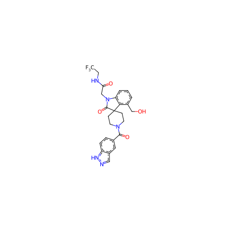 O=C(CN1C(=O)C2(CCN(C(=O)c3ccc4[nH]ncc4c3)CC2)c2c(CO)cccc21)NCC(F)(F)F